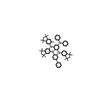 Cc1cc2c(cc1N1c3cc4c(cc3B3c5ccc(-c6ccccc6)cc5N(c5ccc6c(c5)C(C)(C)CC6(C)C)c5cc(N(c6ccccc6)c6ccccc6)cc1c53)C(C)(C)CC4(C)C)C(C)(C)CC2(C)C